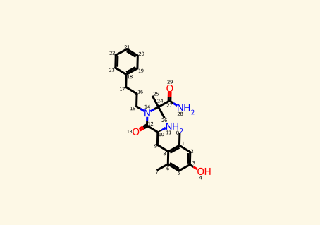 Cc1cc(O)cc(C)c1C[C@H](N)C(=O)N(CCCc1ccccc1)C(C)(C)C(N)=O